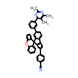 Cc1nc(C)c(C)c(-c2cccc(-c3ccc4c(c3)C3(c5ccccc5Oc5ccccc53)c3cc(-c5ccc(C#N)cc5)ccc3-4)c2)n1